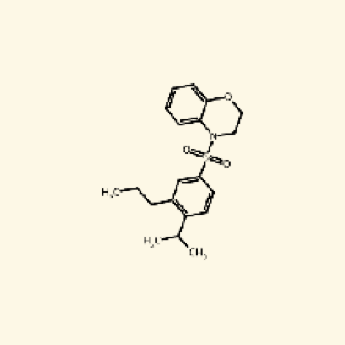 CCCc1cc(S(=O)(=O)N2CCOc3ccccc32)ccc1C(C)C